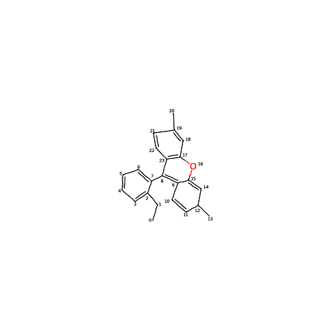 CCc1ccccc1C1=C2C=CC(C)C=C2Oc2cc(C)ccc21